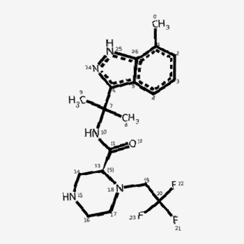 Cc1cccc2c(C(C)(C)NC(=O)[C@@H]3CNCCN3CC(F)(F)F)n[nH]c12